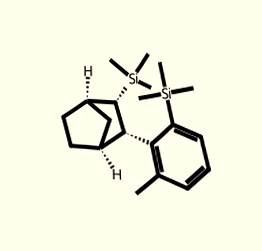 Cc1cccc([Si](C)(C)C)c1[C@@H]1[C@H]2CC[C@H](C2)[C@@H]1[Si](C)(C)C